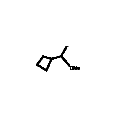 [CH2]C(OC)C1CCC1